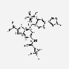 CN(c1cc(-c2cnn(C)c2)ccc1Nc1cc(NC(=O)C2CC2(F)F)nc2[nH]c(C(F)F)nc12)S(C)(=O)=O